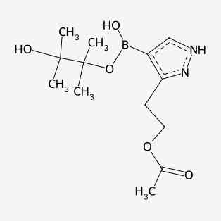 CC(=O)OCCc1n[nH]cc1B(O)OC(C)(C)C(C)(C)O